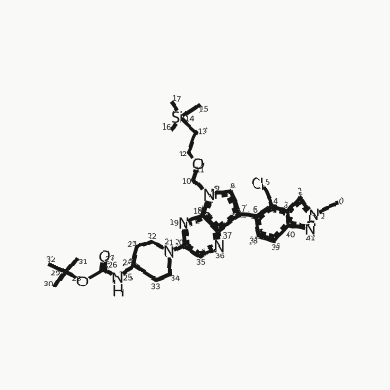 Cn1cc2c(Cl)c(-c3cn(COCC[Si](C)(C)C)c4nc(N5CCC(NC(=O)OC(C)(C)C)CC5)cnc34)ccc2n1